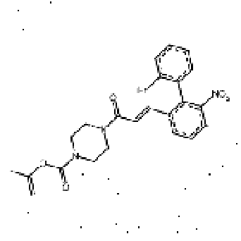 C=C(C)OC(=O)N1CCN(C(=O)/C=C/c2cc[c]c([N+](=O)[O-])c2-c2ccccc2C(C)C)CC1